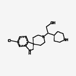 OCC(C1CCNCC1)N1CCC2(CC1)CNc1cc(Cl)ccc12